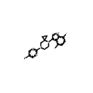 Fc1cnc(N2CCN(c3n[nH]c4c(F)ccc(Cl)c34)C3(CC3)C2)nc1